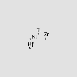 [Hf].[Ni].[Ti].[Zr]